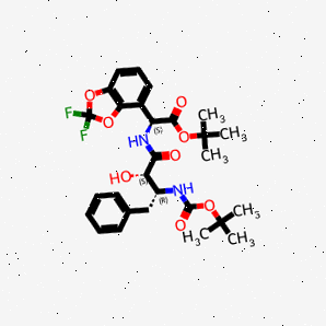 CC(C)(C)OC(=O)N[C@H](Cc1ccccc1)[C@H](O)C(=O)N[C@H](C(=O)OC(C)(C)C)c1cccc2c1OC(F)(F)O2